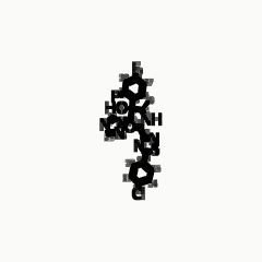 C[C@@H](NC(=O)c1nsc(-c2ccc(Cl)cc2)n1)[C@](O)(Cn1cncn1)c1ccc(F)cc1F